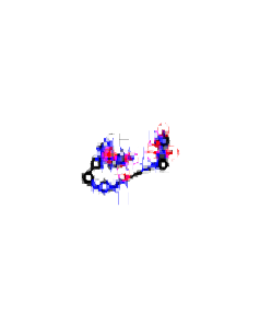 CN1CCN(c2ccc(-c3cccc(CN4CCN(CCNC(=O)CCCCCNc5cccc6c5C(=O)N(C5CCC(=O)NC5=O)C6=O)CC4)c3)cc2NC(=O)c2c[nH]c(=O)cc2C(F)(F)F)CC1